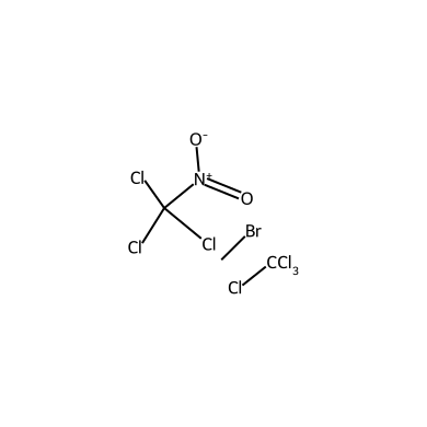 CBr.ClC(Cl)(Cl)Cl.O=[N+]([O-])C(Cl)(Cl)Cl